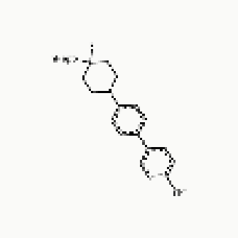 CCCCCCCC1(F)CCC(c2ccc(-c3ccc(CCC)cc3)cc2)CC1